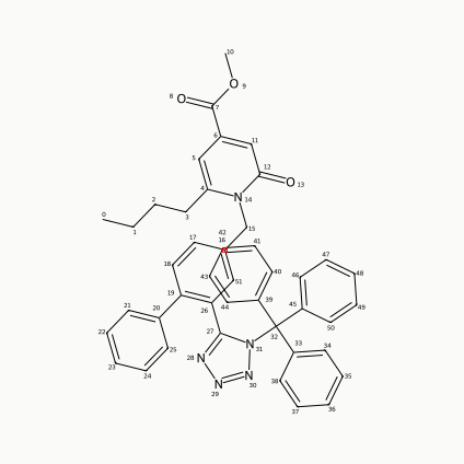 CCCCc1cc(C(=O)OC)cc(=O)n1Cc1ccc(-c2ccccc2)c(-c2nnnn2C(c2ccccc2)(c2ccccc2)c2ccccc2)c1